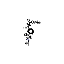 COC(=O)C(C)(C)Nc1cccc(S(=O)(=O)/N=C/N(C)C)c1